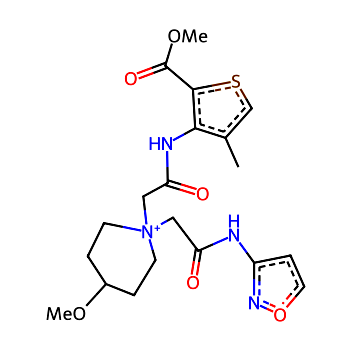 COC(=O)c1scc(C)c1NC(=O)C[N+]1(CC(=O)Nc2ccon2)CCC(OC)CC1